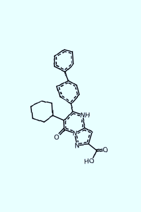 O=C(O)c1cc2[nH]c(-c3ccc(-c4ccccc4)cc3)c(C3CCCCC3)c(=O)n2n1